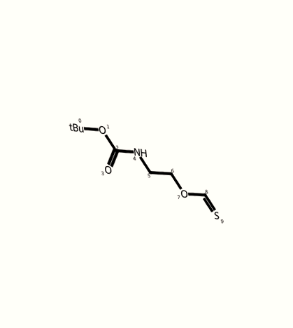 CC(C)(C)OC(=O)NCCOC=S